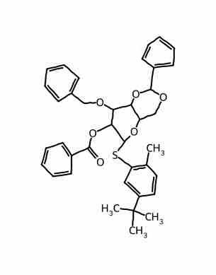 Cc1ccc(C(C)(C)C)cc1SC1OC2COC(c3ccccc3)OC2C(OCc2ccccc2)C1OC(=O)c1ccccc1